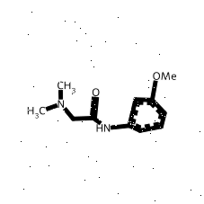 COc1cccc(NC(=O)CN(C)C)c1